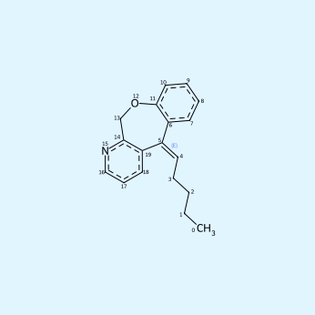 CCCC/C=C1/c2ccccc2OCc2ncccc21